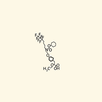 CCOC(Cc1ccc(OCCN(CCCCC(F)(F)C(F)(F)C(F)(F)F)C(=O)OC2CCCCC2)cc1)C(=O)O